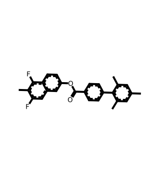 Cc1cc(C)c(-c2ccc(C(=O)Oc3ccc4c(F)c(C)c(F)cc4c3)cc2)c(C)c1